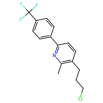 Cc1nc(-c2ccc(C(F)(F)F)cc2)ccc1CCCCl